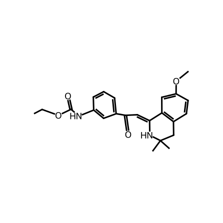 CCOC(=O)Nc1cccc(C(=O)/C=C2\NC(C)(C)Cc3ccc(OC)cc32)c1